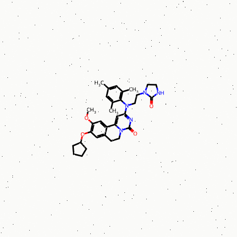 COc1cc2c(cc1OC1CCCC1)CCn1c-2cc(N(CCN2CCNC2=O)c2c(C)cc(C)cc2C)nc1=O